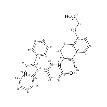 O=C(O)COc1cccc2c1CCC(n1nc(-c3c(-c4ccccc4)nn4ccccc34)ccc1=O)C2=O